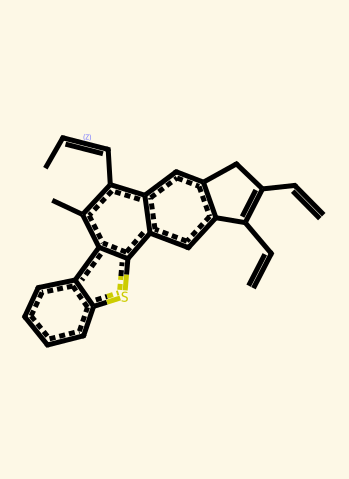 C=CC1=C(C=C)c2cc3c(cc2C1)c(/C=C\C)c(C)c1c2ccccc2sc31